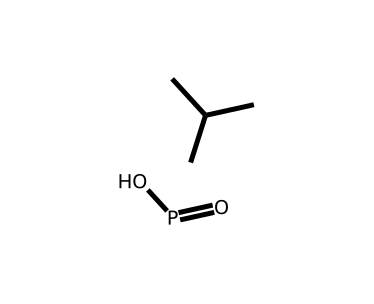 CC(C)C.O=PO